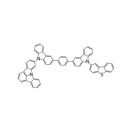 c1ccc2c(c1)sc1ccc(-n3c4ccccc4c4cc(-c5ccc(-c6ccc7c(c6)c6ccccc6n7-c6ccc7c8cccc9c%10ccccc%10n(c7c6)c98)cc5)ccc43)cc12